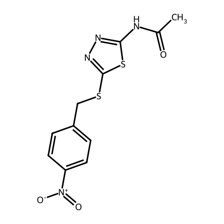 CC(=O)Nc1nnc(SCc2ccc([N+](=O)[O-])cc2)s1